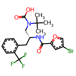 CC(C)(C)N(C[C@@H](Cc1ccccc1C(F)(F)F)NC(=O)c1cc(Br)co1)C(=O)O